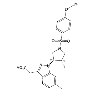 Cc1ccc2c(CC(=O)O)nn([C@H]3CN(S(=O)(=O)c4ccc(OC(C)C)cc4)C[C@@H]3C)c2c1